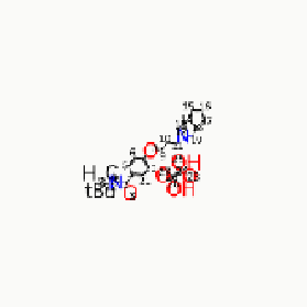 CN(C(=O)c1ccc(OCCCN2CC3CCCC3C2)cc1)C(C)(C)C.O=C(O)C(=O)O